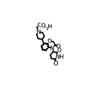 O=C(O)CN1CCC(c2cccc3c2OCC(=O)N3C2CCC(=O)NC2=O)CC1